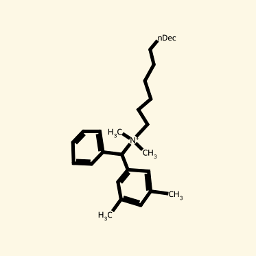 CCCCCCCCCCCCCCCC[N+](C)(C)C(c1ccccc1)c1cc(C)cc(C)c1